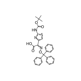 CC(C)(C)OC(=O)Nc1nc(C(=NOC(c2ccccc2)(c2ccccc2)c2ccccc2)C(=O)O)cs1